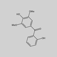 COc1cc(C(=O)c2ccccc2O)cc(OC)c1O